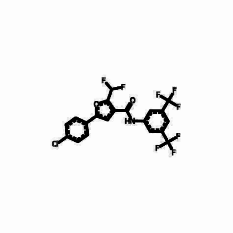 O=C(Nc1cc(C(F)(F)F)cc(C(F)(F)F)c1)c1cc(-c2ccc(Cl)cc2)oc1C(F)F